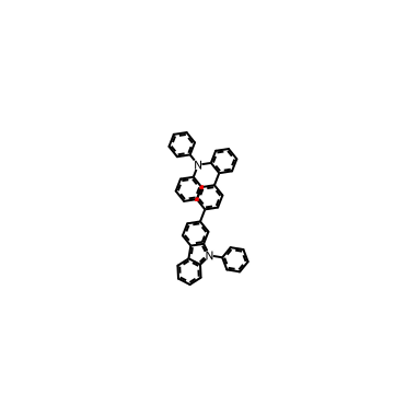 c1ccc(N(c2ccccc2)c2ccccc2-c2ccc(-c3ccc4c5ccccc5n(-c5ccccc5)c4c3)cc2)cc1